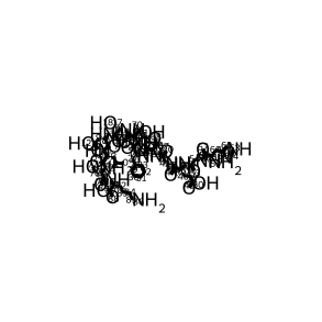 CC(C)C[C@H](NC(=O)[C@H](CC(=O)O)NC(=O)[C@H](CO)NC(=O)[C@@H](NC(=O)[C@H](Cc1ccccc1)NC(=O)[C@@H](NC(=O)CNC(=O)[C@H](CCC(=O)O)NC(=O)CNC(=O)[C@@H](N)Cc1c[nH]cn1)[C@@H](C)O)[C@@H](C)O)C(=O)N[C@@H](CO)C(=O)N[C@@H](CCCCN)C(=O)O